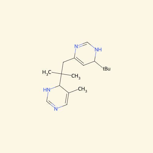 CC1=CN=CNC1C(C)(C)CC1=CC(C(C)(C)C)NC=N1